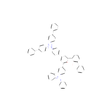 c1ccc(-c2ccc(N(c3ccc(-c4ccccc4)cc3)c3ccc(-c4cc(-c5ccc6c(c5)c5ccccc5n6-c5ccccc5)c5oc6c(-c7ccccc7)cccc6c5c4)cc3)cc2)cc1